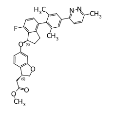 COC(=O)C[C@@H]1COc2cc(O[C@@H]3CCc4c(-c5c(C)cc(-c6ccc(C)nn6)cc5C)ccc(F)c43)ccc21